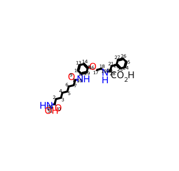 O=C(CCCCCCC(=O)Nc1cccc(OCCN[C@@H](Cc2ccccc2)C(=O)O)c1)NO